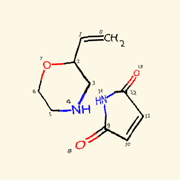 C=CC1CNCCO1.O=C1C=CC(=O)N1